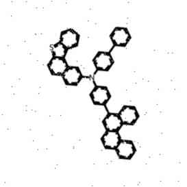 c1ccc(-c2ccc(N(c3ccc(-c4cc5ccc6ccccc6c5c5ccccc45)cc3)c3ccc4ccc5sc6ccccc6c5c4c3)cc2)cc1